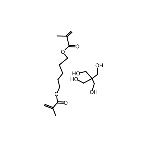 C=C(C)C(=O)OCCCCCOC(=O)C(=C)C.OCC(CO)(CO)CO